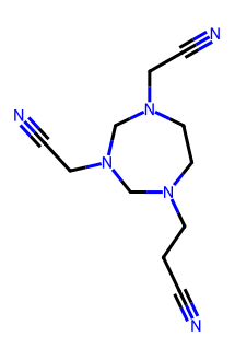 N#CCCN1CCN(CC#N)CN(CC#N)C1